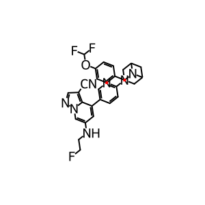 N#Cc1cnn2cc(NCCF)cc(-c3ccc(N4CC5CC(C4)N5Cc4ccc(OC(F)F)cc4)nc3)c12